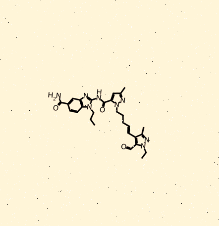 CCCn1c(NC(=O)c2cc(C)nn2CCC/C=C/c2c(C)nn(CC)c2C=O)nc2cc(C(N)=O)ccc21